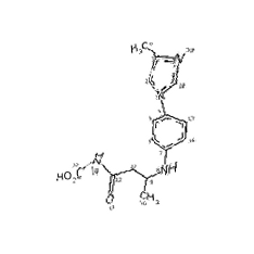 Cc1cn(-c2ccc(NC(C)CC(=O)NC(=O)O)cc2)cn1